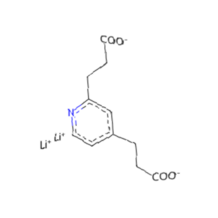 O=C([O-])CCc1ccnc(CCC(=O)[O-])c1.[Li+].[Li+]